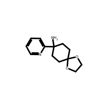 NC1(c2ccccn2)CCC2(CC1)OCCO2